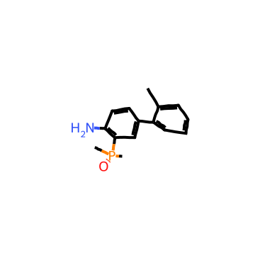 Cc1ccccc1-c1ccc(N)c(P(C)(C)=O)c1